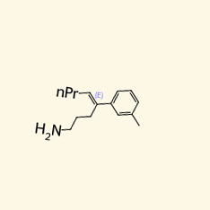 CCC/C=C(\CCCN)c1cccc(C)c1